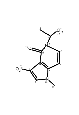 CC(n1ccc2c(c([N+](=O)[O-])cn2C)c1=O)C(F)(F)F